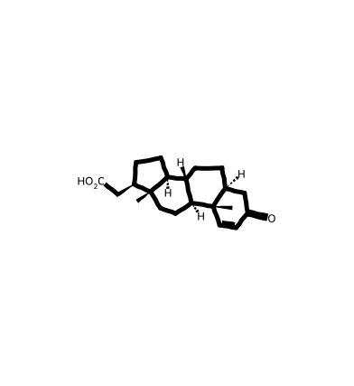 C[C@]12C=CC(=O)C[C@@H]1CC[C@@H]1[C@@H]2CC[C@]2(C)[C@@H](CC(=O)O)CC[C@@H]12